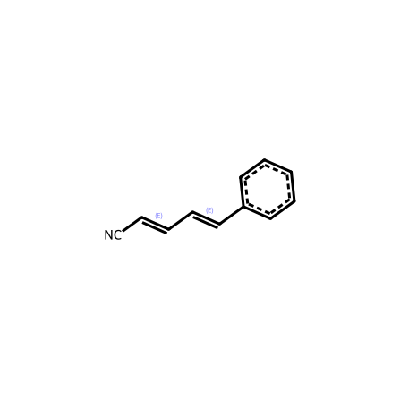 N#C/C=C/C=C/c1ccccc1